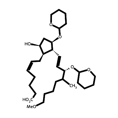 COCCCCC(C)[C@H](/C=C/[C@@H]1[C@@H](C/C=C\CCCC(=O)O)[C@@H](O)C[C@H]1OC1CCCCO1)OC1CCCCO1